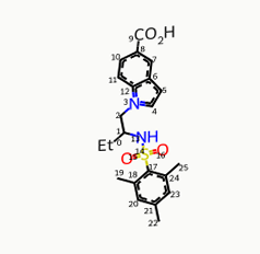 CCC(Cn1ccc2cc(C(=O)O)ccc21)NS(=O)(=O)c1c(C)cc(C)cc1C